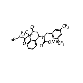 CCCOC(=O)[N@+]1(C(F)(F)F)c2ccccc2C(N(Cc2cc(C(F)(F)F)cc(C(F)(F)F)c2)C(=O)OC)C[C@@H]1CC